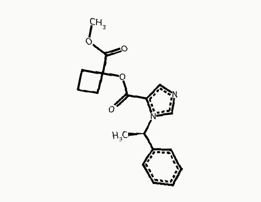 COC(=O)C1(OC(=O)c2cncn2[C@H](C)c2ccccc2)CCC1